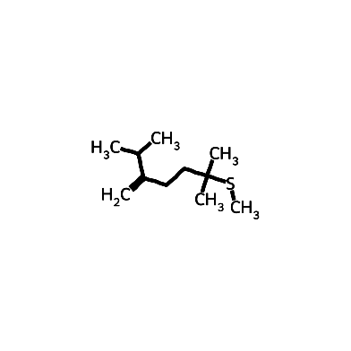 C=C(CCC(C)(C)SC)C(C)C